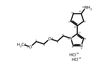 COCCOCCn1cncc1C1=CCC(N)C1.Cl.Cl